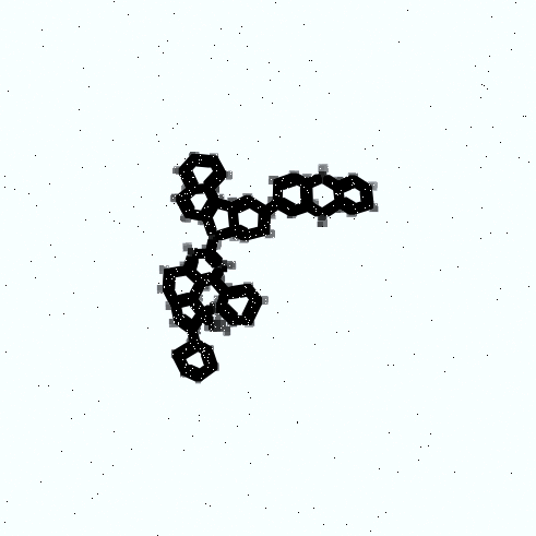 CC1(C)C(c2ccccc2)=Cc2ccc3nc(-n4c5ccc(-c6ccc7c(c6)Sc6ccccc6S7)cc5c5c6ccccc6ccc54)nc(-c4ccccc4)c3c21